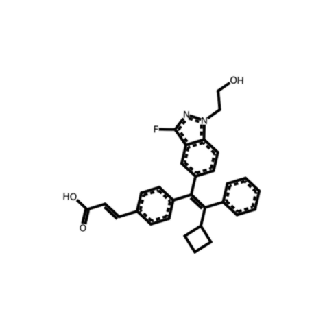 O=C(O)C=Cc1ccc(C(=C(c2ccccc2)C2CCC2)c2ccc3c(c2)c(F)nn3CCO)cc1